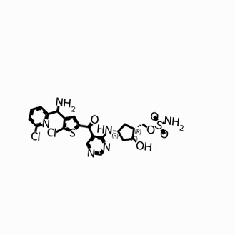 NC(c1cccc(Cl)n1)c1cc(C(=O)c2cncnc2N[C@@H]2C[C@H](COS(N)(=O)=O)[C@@H](O)C2)sc1Cl